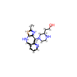 CC(C)c1nc2c(s1)NC=c1cccnc1=C2N1CCNC(CCO)C1